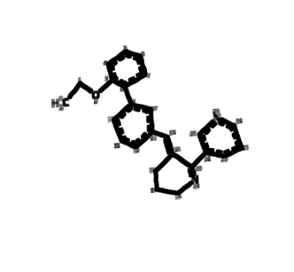 CCOc1ccccc1-c1cccc(C=C2CCCN=C2c2cccnc2)c1